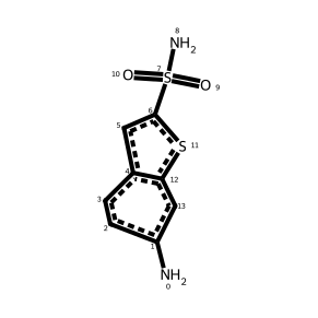 Nc1ccc2cc(S(N)(=O)=O)sc2c1